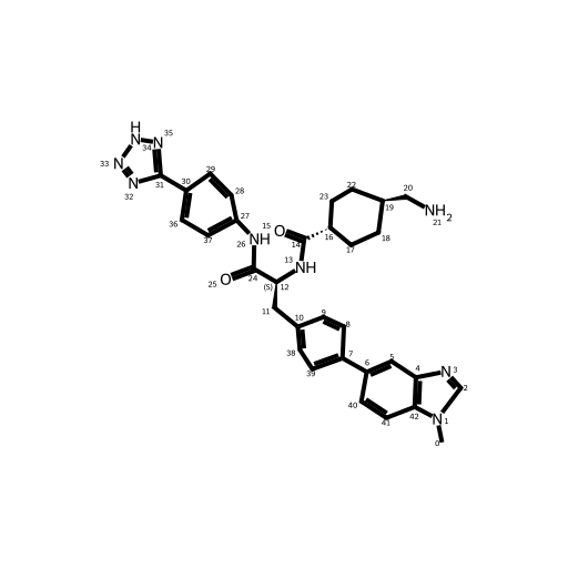 Cn1cnc2cc(-c3ccc(C[C@H](NC(=O)[C@H]4CC[C@H](CN)CC4)C(=O)Nc4ccc(-c5nn[nH]n5)cc4)cc3)ccc21